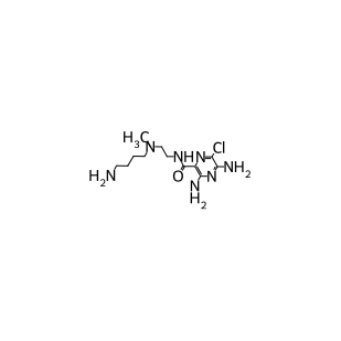 CN(CCCCN)CCNC(=O)c1nc(Cl)c(N)nc1N